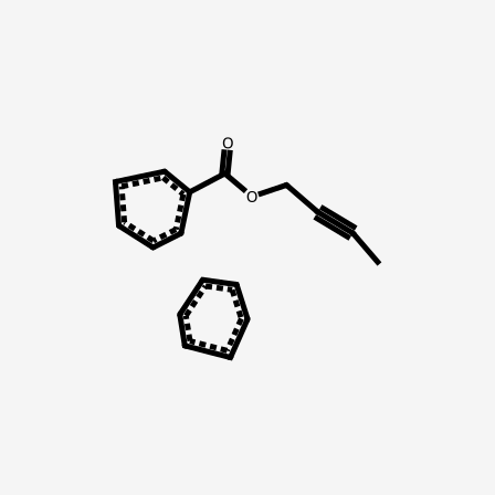 CC#CCOC(=O)c1ccccc1.c1ccccc1